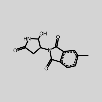 Cc1ccc2c(c1)C(=O)N(C1CC(=O)NC1O)C2=O